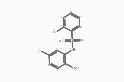 CC(=O)Oc1ccc(Cl)cc1NS(=O)(=O)c1ccccc1Br